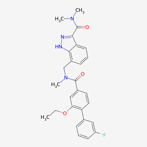 CCOc1cc(C(=O)N(C)Cc2cccc3c(C(=O)N(C)C)n[nH]c23)ccc1-c1cccc(F)c1